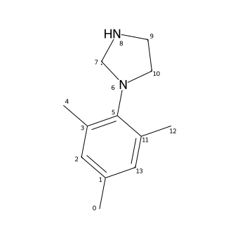 Cc1cc(C)c(N2[CH]NCC2)c(C)c1